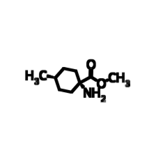 COC(=O)[C@]1(N)CC[C@@H](C)CC1